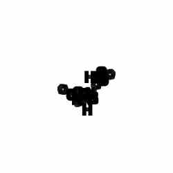 O=C(Nc1nc(-c2ccc(NS(=O)(=O)c3ccccc3)cc2)cs1)C1CCCN1C(=O)OCc1ccccc1